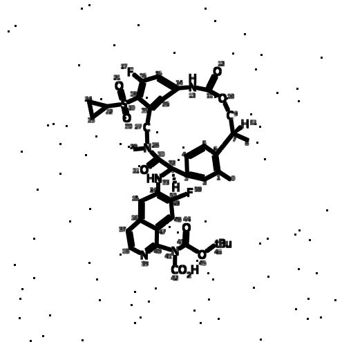 Cc1cc2ccc1[C@@H](C)COC(=O)Nc1cc(F)c(S(=O)(=O)C3CC3)c(c1)CN(C)C(=O)[C@@H]2Nc1cc2ccnc(N(C(=O)O)C(=O)OC(C)(C)C)c2cc1F